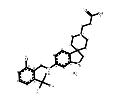 Cl.O=C(O)CCN1CCC2(CC1)COc1cc(OCc3c(Cl)cccc3C(F)(F)F)ccc12